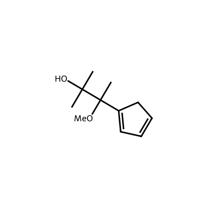 COC(C)(C1=CC=CC1)C(C)(C)O